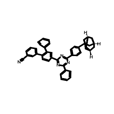 N#Cc1cccc(-c2ccc(-c3nc(-c4ccccc4)nc(-c4ccc(C56C[C@H]7C[C@H](C5)C[C@@H](C6)C7)cc4)n3)cc2-c2ccccc2)c1